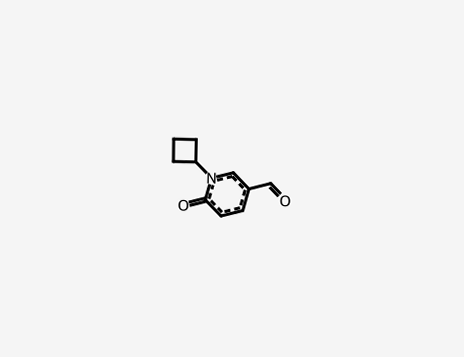 O=Cc1ccc(=O)n(C2CCC2)c1